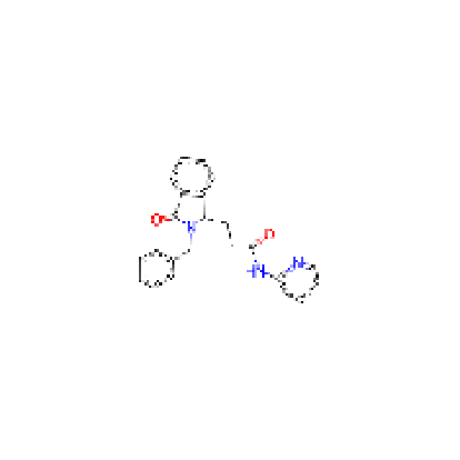 O=C(CCC1c2ccccc2C(=O)N1Cc1ccccc1)Nc1ccccn1